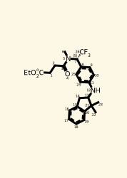 CCOC(=O)CCC(=O)N(C)[C@@H](c1ccc(NC2Cc3ccccc3C2(C)C)cc1)C(F)(F)F